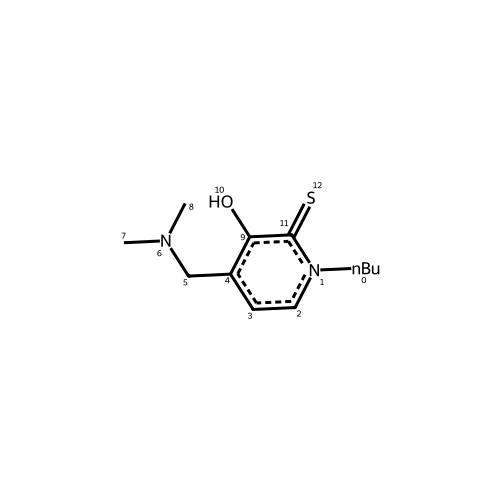 CCCCn1ccc(CN(C)C)c(O)c1=S